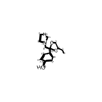 CCC1COC(Cn2ccnc2)(c2ccc(O)cc2)O1